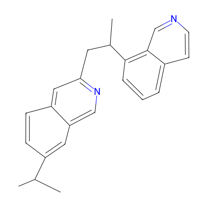 CC(C)c1ccc2cc(CC(C)c3cccc4ccncc34)ncc2c1